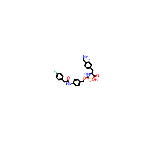 NCc1ccc(CC(NC(=O)OCc2ccc(NC(=O)Cc3ccc(F)cc3)cc2)C(=O)O)cc1